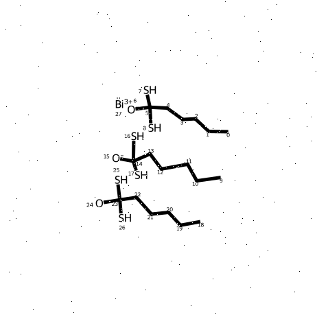 CCCCCC([O-])(S)S.CCCCCC([O-])(S)S.CCCCCC([O-])(S)S.[Bi+3]